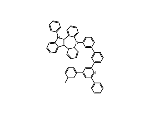 CC1C=CC=C(c2cc(-c3ccccc3)nc(-c3cccc(-c4cccc(N5c6ccccc6-c6c(c7ccccc7n6-c6ccccc6)C6C=CC=CC65)c4)c3)c2)C1